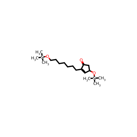 C[Si](C)(C)OCCCCCCCC1=CC(O[Si](C)(C)C)CC1=O